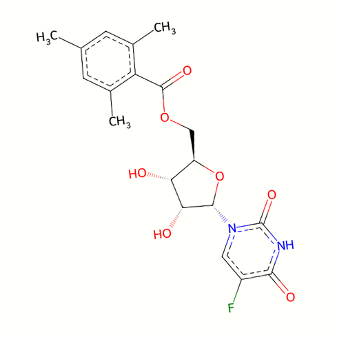 Cc1cc(C)c(C(=O)OC[C@H]2O[C@H](n3cc(F)c(=O)[nH]c3=O)[C@H](O)[C@@H]2O)c(C)c1